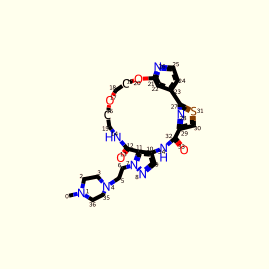 CN1CCN(CCn2ncc3c2C(=O)NCCOCCOc2cc(ccn2)-c2nc(cs2)C(=O)N3)CC1